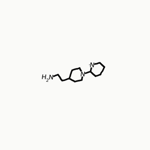 NCCC1CCN(C2CCCC[N]2)CC1